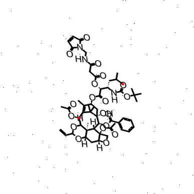 C=CC1O[C@H]2C[C@H]3OC[C@@]3(OC(C)=O)[C@H]3[C@H](OC(=O)c4ccccc4)[C@]4(O)C[C@H](OC(=O)[C@H](OC(=O)CC(=O)NCN5C(=O)C=CC5=O)[C@H](CC(C)C)NC(=O)OC(C)(C)C)C(C)=C([C@H](OC(C)=O)[C@H](O1)[C@]23C)C4(C)C